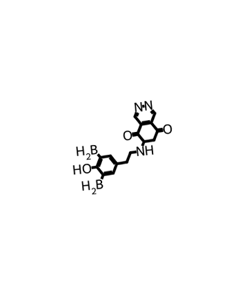 Bc1cc(CCNC2CC(=O)c3cnncc3C2=O)cc(B)c1O